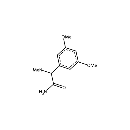 CNC(C(N)=O)c1cc(OC)cc(OC)c1